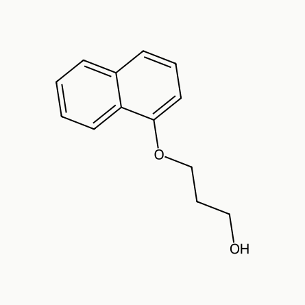 OCCCOc1cccc2ccccc12